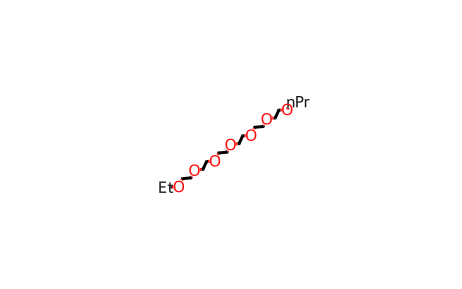 CCCOCCOCCOCCOCCOCCOCCOCC